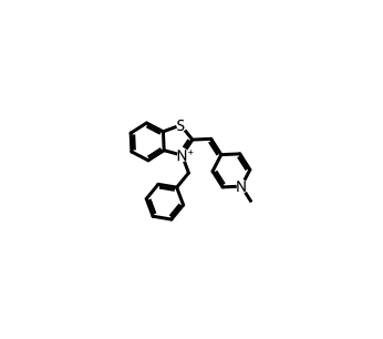 CN1C=CC(=Cc2sc3ccccc3[n+]2Cc2ccccc2)C=C1